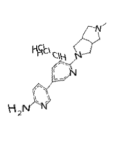 CN1CC2CN(c3ccc(-c4ccc(N)nc4)cn3)CC2C1.Cl.Cl.Cl